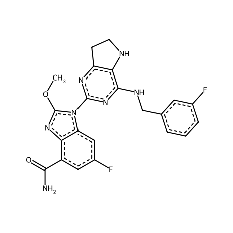 COc1nc2c(C(N)=O)cc(F)cc2n1-c1nc2c(c(NCc3cccc(F)c3)n1)NCC2